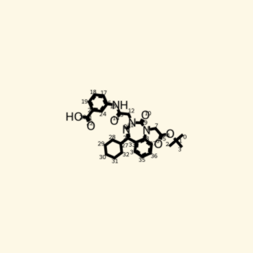 CC(C)(C)OC(=O)CN1C(=O)N(CC(=O)Nc2cccc(C(=O)O)c2)N=C(C2CCCCC2)c2ccccc21